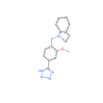 COc1cc(-c2nnn[nH]2)ccc1Cn1ccc2cc[c]cc21